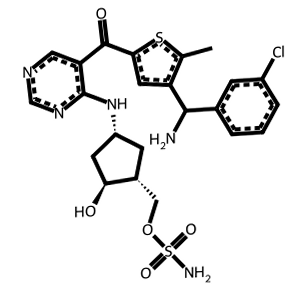 Cc1sc(C(=O)c2cncnc2N[C@@H]2C[C@H](COS(N)(=O)=O)[C@@H](O)C2)cc1C(N)c1cccc(Cl)c1